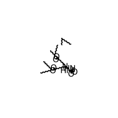 C=C(CCCC)CCCCCCC.CCCCCCCCC(CCCCCCCC)OC(=O)CCCCCCCN(CCCCCCCC(=O)OCC(CCCC)CCCCCCC)CCCNc1c(NC)c(=O)c1=O